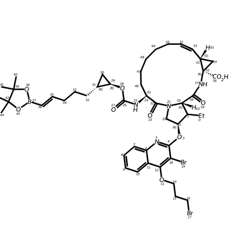 CCC1[C@@H](Oc2nc3ccccc3c(OCCCBr)c2Br)CN2C(=O)[C@@H](NC(=O)O[C@@H]3C[C@H]3CCCC=CB3OC(C)(C)C(C)(C)O3)CCCCCC=C[C@@H]3C[C@@]3(C(=O)O)NC(=O)[C@H]12